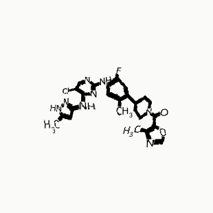 Cc1cc(Nc2nc(Nc3cc(C)c(C4CCN(C(=O)c5ocnc5C)CC4)cc3F)ncc2Cl)n[nH]1